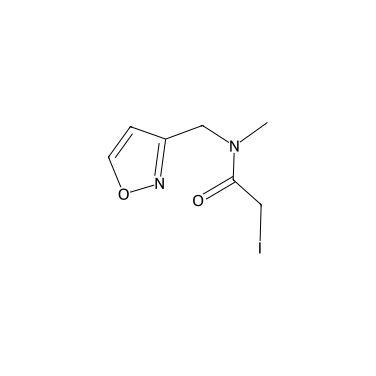 CN(Cc1ccon1)C(=O)CI